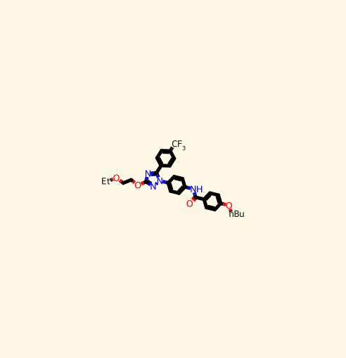 CCCCOc1ccc(C(=O)Nc2ccc(-n3nc(OCCOCC)nc3-c3ccc(C(F)(F)F)cc3)cc2)cc1